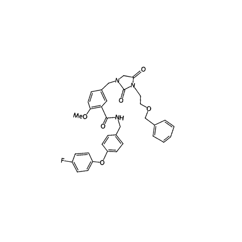 COc1ccc(CN2CC(=O)N(CCOCc3ccccc3)C2=O)cc1C(=O)NCc1ccc(Oc2ccc(F)cc2)cc1